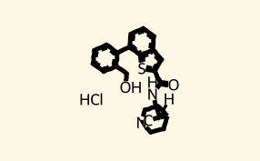 Cl.O=C(N[C@H]1CN2CCC1CC2)c1cc2cccc(-c3ccccc3CO)c2s1